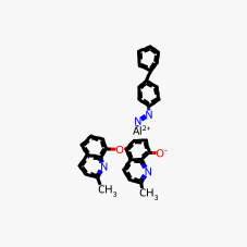 Cc1ccc2cccc([O-])c2n1.Cc1ccc2cccc([O-])c2n1.[Al+2][N]=Nc1ccc(-c2ccccc2)cc1